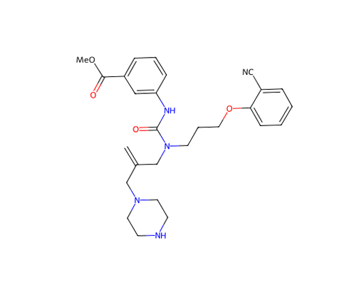 C=C(CN1CCNCC1)CN(CCCOc1ccccc1C#N)C(=O)Nc1cccc(C(=O)OC)c1